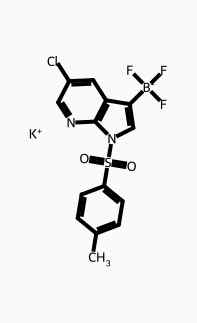 Cc1ccc(S(=O)(=O)n2cc([B-](F)(F)F)c3cc(Cl)cnc32)cc1.[K+]